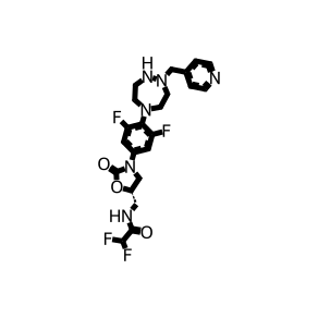 O=C(NC[C@H]1CN(c2cc(F)c(N3CCNN(Cc4ccncc4)CC3)c(F)c2)C(=O)O1)C(F)F